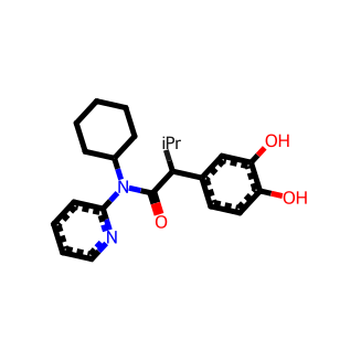 CC(C)C(C(=O)N(c1ccccn1)C1CCCCC1)c1ccc(O)c(O)c1